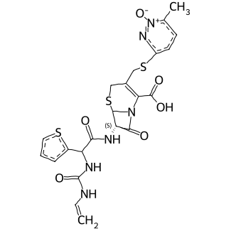 C=CNC(=O)NC(C(=O)N[C@H]1C(=O)N2C(C(=O)O)=C(CSc3ccc(C)[n+]([O-])n3)CSC12)c1cccs1